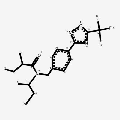 CCC(C)C(=O)N(Cc1ccc(-c2noc(C(F)(F)F)n2)cc1)C(C)CC